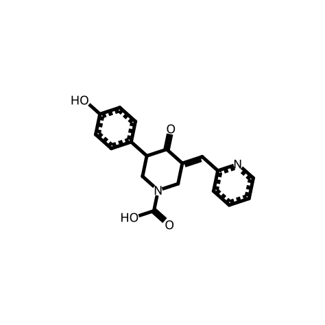 O=C1C(=Cc2ccccn2)CN(C(=O)O)CC1c1ccc(O)cc1